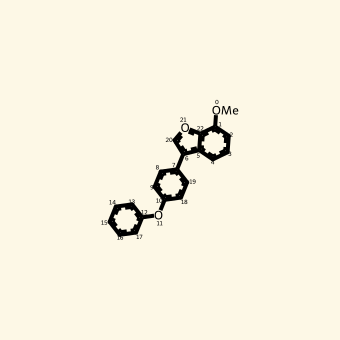 COc1cccc2c(-c3ccc(Oc4ccccc4)cc3)[c]oc12